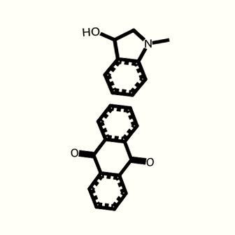 CN1CC(O)c2ccccc21.O=C1c2ccccc2C(=O)c2ccccc21